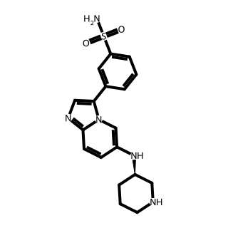 NS(=O)(=O)c1cccc(-c2cnc3ccc(N[C@@H]4CCCNC4)cn23)c1